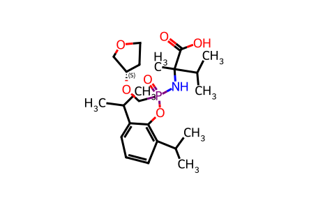 CC(C)c1cccc(C(C)C)c1OP(=O)(CO[C@H]1CCOC1)NC(C)(C(=O)O)C(C)C